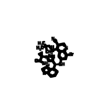 CC(C)(C)CNc1c(C#N)cnc2c(Br)cc(N[C@H](c3cn(C4(C(N)=O)CC4)nn3)c3cccc4ncsc34)cc12